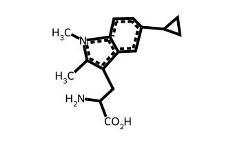 Cc1c(CC(N)C(=O)O)c2cc(C3CC3)ccc2n1C